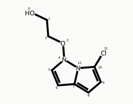 OCCOn1ccc2ccc(Cl)n21